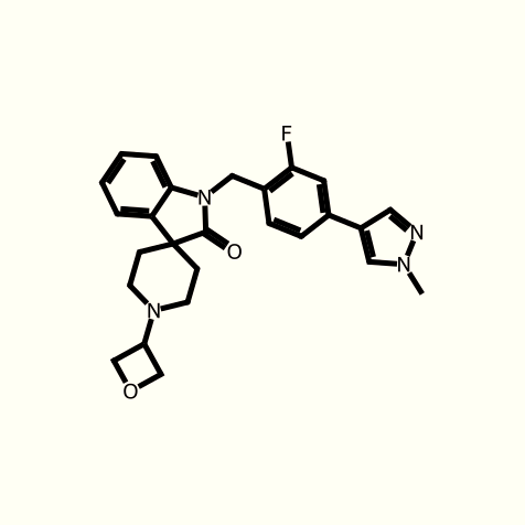 Cn1cc(-c2ccc(CN3C(=O)C4(CCN(C5COC5)CC4)c4ccccc43)c(F)c2)cn1